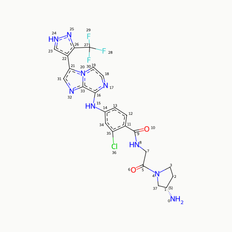 N[C@H]1CCN(C(=O)CNC(=O)c2ccc(Nc3nccn4c(-c5c[nH]nc5C(F)(F)F)cnc34)cc2Cl)C1